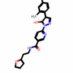 Cc1cc(C#N)ccc1C1C=NN(c2ccc(C(=O)NCCC3CCCO3)cn2)C1O